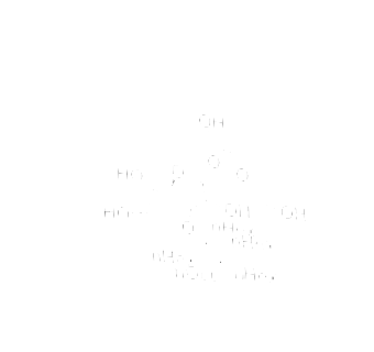 CCCCCCCCC(CCCCCC)(CCCCCC)C(CCCCCC)(CCCCCC)OC1=C(O)C(=O)O[C@@H]1[C@@H](O)CO.OCCOCCO